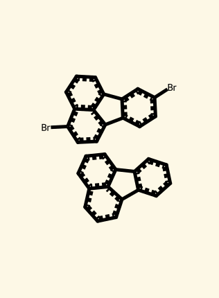 Brc1ccc2c(c1)-c1cccc3c(Br)ccc-2c13.c1ccc2c(c1)-c1cccc3cccc-2c13